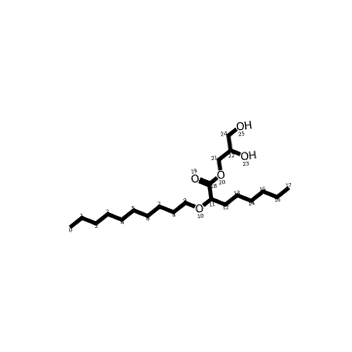 CCCCCCCCCCOC(CCCCCC)C(=O)OCC(O)CO